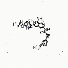 C=C(/N=C\C(=C(C)C)c1cc2cc(NC(=O)[C@H]3C[C@@H]3c3cnn(C)c3)ncc2c(N)n1)OC